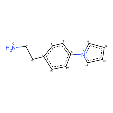 NCCc1ccc(-n2cccc2)cc1